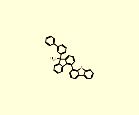 CC1(c2cccc(-c3ccccc3)c2)c2ccccc2-c2c(-c3cccc4c3sc3ccccc34)cccc21